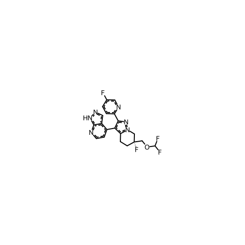 Fc1ccc(-c2nn3c(c2-c2ccnc4[nH]ncc24)CC[C@](F)(COC(F)F)C3)nc1